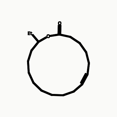 CCC1CCCCCCCCC=CCCCCC(=O)O1